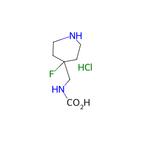 Cl.O=C(O)NCC1(F)CCNCC1